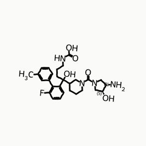 Cc1cccc(-c2c(F)cccc2C(O)(CCCNC(=O)O)C2CCCN(C(=O)N3C[C@@H](N)[C@@H](O)C3)C2)c1